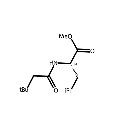 COC(=O)[C@H](CC(C)C)NC(=O)CC(C)(C)C